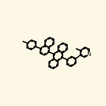 Cc1ccc(-c2ccc(-c3c4ccccc4c(-c4cccc(-c5cnccc5C)c4)c4ccccc34)c3ccccc23)cc1